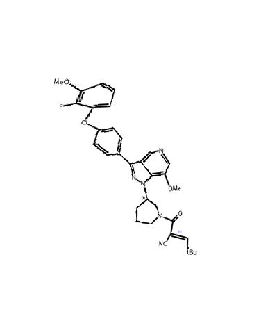 COc1cccc(Oc2ccc(-c3nn([C@@H]4CCCN(C(=O)/C(C#N)=C/C(C)(C)C)C4)c4c(OC)cncc34)cc2)c1F